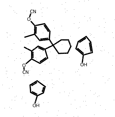 Cc1cc(C2(c3ccc(OC#N)c(C)c3)CCCCC2)ccc1OC#N.Oc1ccccc1.Oc1ccccc1